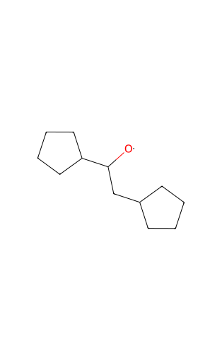 [O]C(CC1CCCC1)C1CCCC1